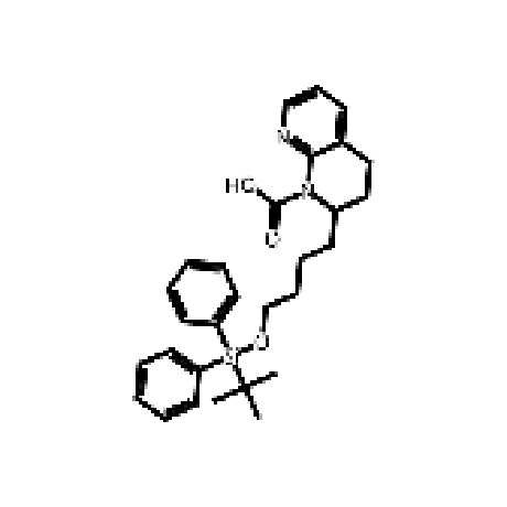 CC(C)(C)[Si](OCCCCC1CCc2cccnc2N1C(=O)O)(c1ccccc1)c1ccccc1